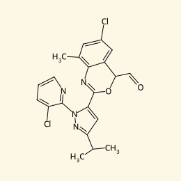 Cc1cc(Cl)cc2c1N=C(c1cc(C(C)C)nn1-c1ncccc1Cl)OC2C=O